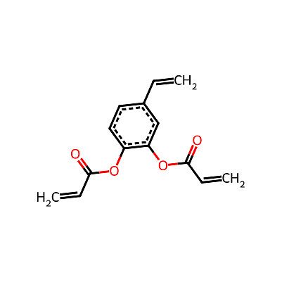 C=CC(=O)Oc1ccc(C=C)cc1OC(=O)C=C